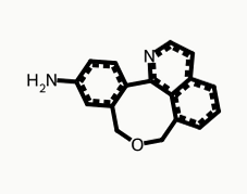 Nc1ccc2c(c1)COCc1cccc3ccnc-2c13